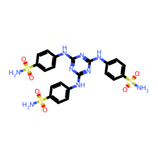 NS(=O)(=O)c1ccc(Nc2nc(Nc3ccc(S(N)(=O)=O)cc3)nc(Nc3ccc(S(N)(=O)=O)cc3)n2)cc1